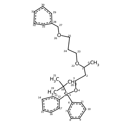 CC(CCO[Si](c1ccccc1)(c1ccccc1)C(C)(C)C)OCCCOCc1ccccc1